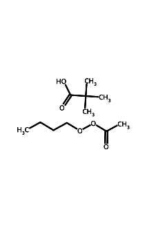 CC(C)(C)C(=O)O.CCCCOOC(C)=O